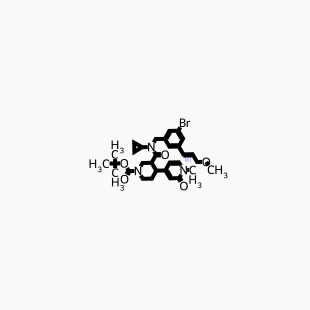 COC/C=C/c1cc(Br)cc(CN(C(=O)C2CN(C(=O)OC(C)(C)C)CCC2c2ccn(C)c(=O)c2)C2CC2)c1